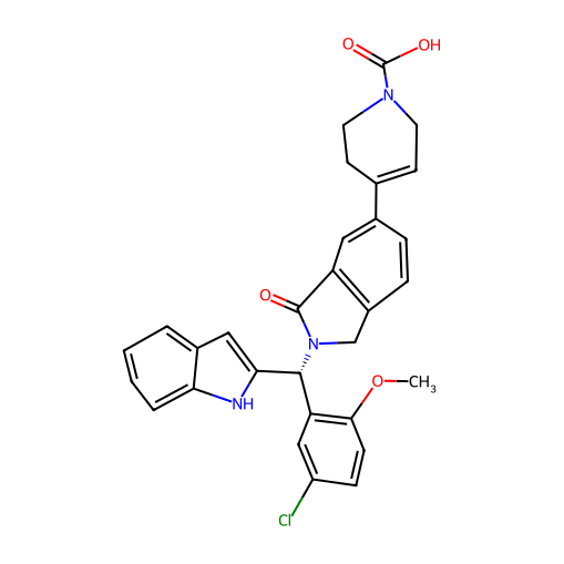 COc1ccc(Cl)cc1[C@H](c1cc2ccccc2[nH]1)N1Cc2ccc(C3=CCN(C(=O)O)CC3)cc2C1=O